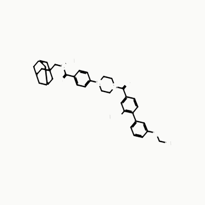 CCOc1cccc(-c2ccc(C(=O)N3CCN(c4ccc(C(=O)N(C)CC56CC7CC(CC(C7)C5)C6)cc4)CC3)cc2C)c1